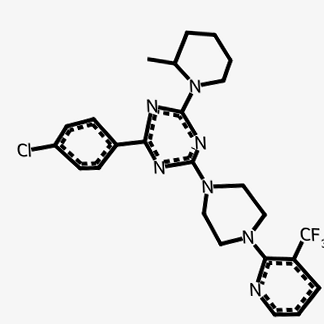 CC1CCCCN1c1nc(-c2ccc(Cl)cc2)nc(N2CCN(c3ncccc3C(F)(F)F)CC2)n1